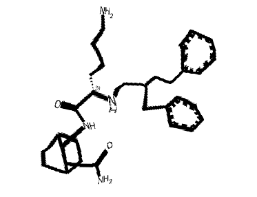 NCCCC[C@H](NCC(CCc1ccccc1)Cc1ccccc1)C(=O)NC1C2CCC(CC2)C1C(N)=O